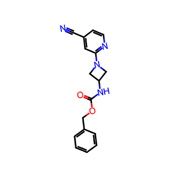 N#Cc1ccnc(N2CC(NC(=O)OCc3ccccc3)C2)c1